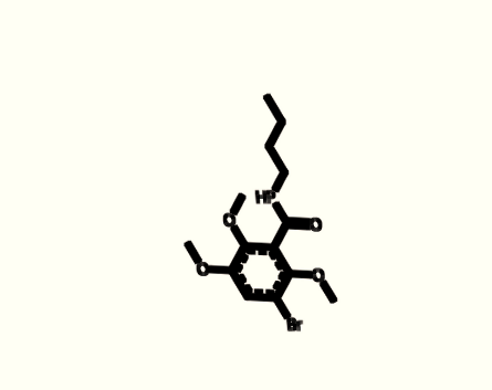 CCCCPC(=O)c1c(OC)c(Br)cc(OC)c1OC